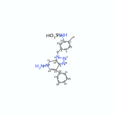 Cc1ccc(Cn2nnc3c2CN(N)C=C3c2ccccc2)cc1NS(=O)(=O)O